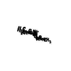 CCNCCNC(=O)c1cccc(OCC(N=[N+]=[N-])OCCOCC(=O)NC/C=C/C(C)C)c1